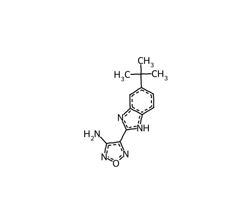 CC(C)(C)c1ccc2[nH]c(-c3nonc3N)nc2c1